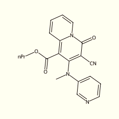 CCCOC(=O)c1c(N(C)c2cccnc2)c(C#N)c(=O)n2ccccc12